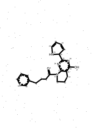 O=C(CCCc1cccnc1)N1CCCc2c(O)nc(C3C=CC=CN3)nc21